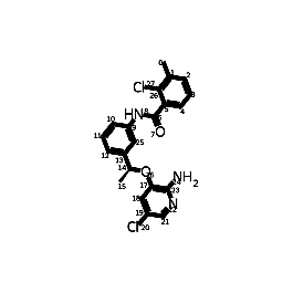 Cc1cccc(C(=O)Nc2cccc([C@H](C)Oc3cc(Cl)cnc3N)c2)c1Cl